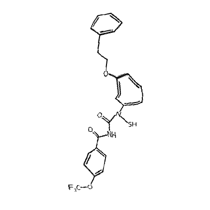 O=C(NC(=O)N(S)c1cccc(OCCc2ccccc2)c1)c1ccc(OC(F)(F)F)cc1